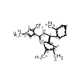 Cc1ccccc1C(NC(=O)c1cn(C)nc1C(F)(F)F)c1nc(C)c(C)s1